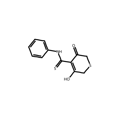 O=C1CSCC(O)=C1C(=S)Nc1ccccc1